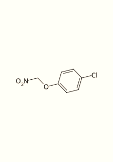 O=[N+]([O-])COc1ccc(Cl)cc1